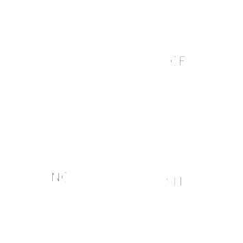 N#CCc1ccc(C(F)(F)F)cc1S